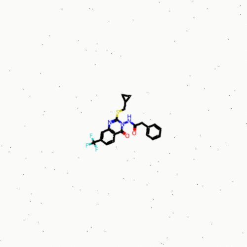 O=C(Cc1ccccc1)Nn1c(SCC2CC2)nc2cc(C(F)(F)F)ccc2c1=O